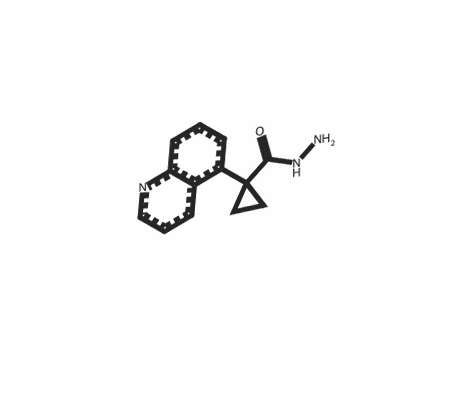 NNC(=O)C1(c2cccc3ncccc23)CC1